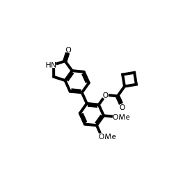 COc1ccc(-c2ccc3c(c2)CNC3=O)c(OC(=O)C2CCC2)c1OC